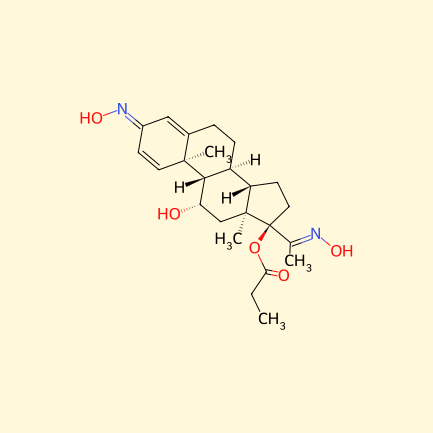 CCC(=O)O[C@]1(/C(C)=N/O)CC[C@H]2[C@@H]3CCC4=C/C(=N/O)C=C[C@]4(C)[C@H]3[C@@H](O)C[C@@]21C